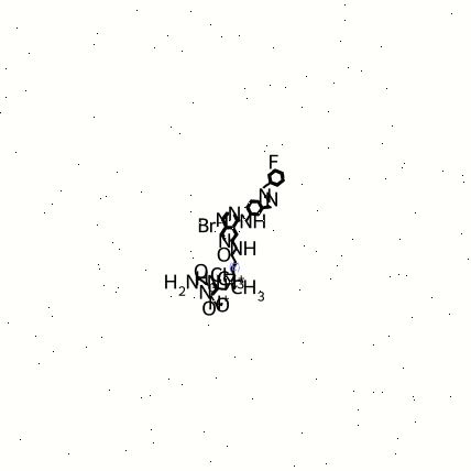 Cn1c(C(N)=O)nc([N+](=O)[O-])c1C[N+](C)(C)C/C=C/C(=O)Nc1cc2c(Nc3ccc4c(cnn4Cc4cccc(F)c4)c3)ncnc2cn1.[Br-]